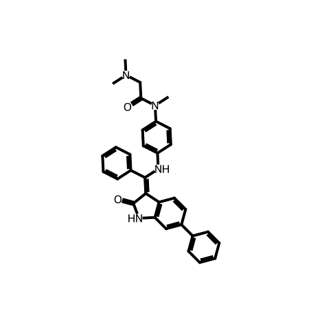 CN(C)CC(=O)N(C)c1ccc(NC(=C2C(=O)Nc3cc(-c4ccccc4)ccc32)c2ccccc2)cc1